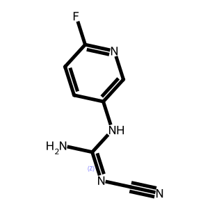 N#C/N=C(/N)Nc1ccc(F)nc1